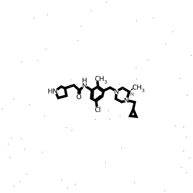 Cc1c(CN2CCN(CC3CC3)[C@@H](C)C2)cc(Cl)cc1NC(=O)CC1CCNC1